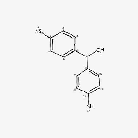 OC(c1ccc(S)cc1)c1ccc(S)cc1